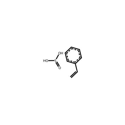 C=Cc1ccccc1.O=S(O)O